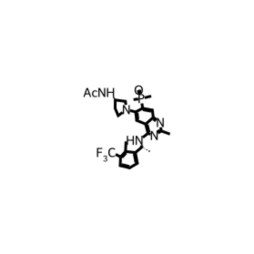 CC(=O)N[C@H]1CCN(c2cc3c(N[C@H](C)c4cccc(C(F)(F)F)c4C)nc(C)nc3cc2P(C)(C)=O)C1